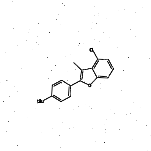 Cc1c(-c2ccc(C(C)(C)C)cc2)oc2cccc(Cl)c12